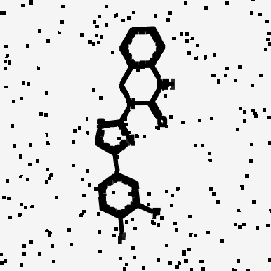 O=C1Nc2ccccc2CN1c1nc(-c2ccc(F)c(F)c2)cs1